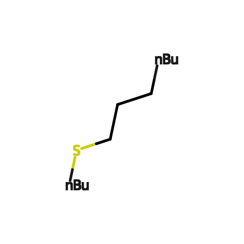 [CH2]CCCCCCSCCCC